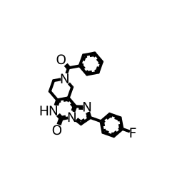 O=C(c1ccccc1)N1CCc2[nH]c(=O)n3cc(-c4ccc(F)cc4)nc3c2C1